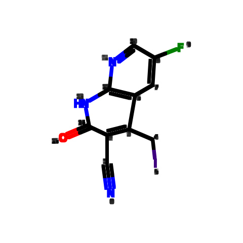 N#Cc1c(CI)c2cc(F)cnc2[nH]c1=O